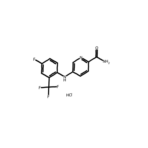 Cl.NC(=O)c1ccc(Nc2ccc(F)cc2C(F)(F)F)cn1